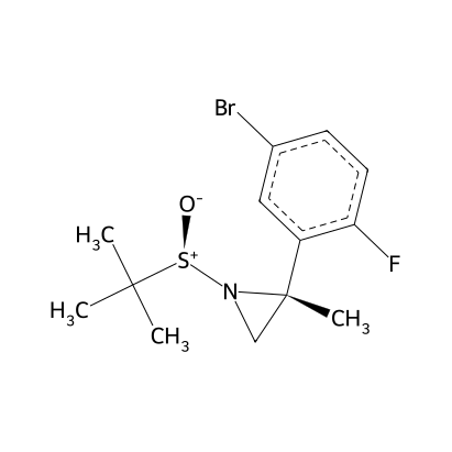 CC(C)(C)[S@@+]([O-])N1C[C@@]1(C)c1cc(Br)ccc1F